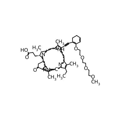 CCC1=C(C)c2cc3[nH]c(cc4nc(c5c6[nH]c(cc1n2)c(C)c6C(=O)C5)[C@@H](CCC(=O)O)[C@@H]4C)c(C)c3C#CC1=C(OCCOCCOCCOC)C=CCC1